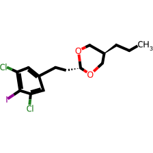 CCC[C@H]1CO[C@H](CCc2cc(Cl)c(I)c(Cl)c2)OC1